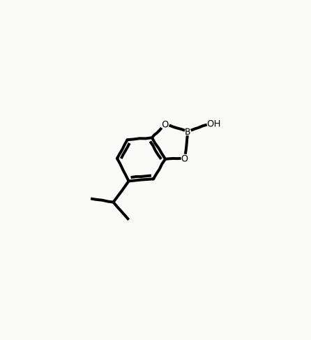 CC(C)c1ccc2c(c1)OB(O)O2